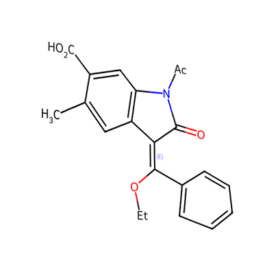 CCO/C(=C1/C(=O)N(C(C)=O)c2cc(C(=O)O)c(C)cc21)c1ccccc1